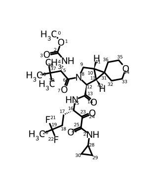 COC(=O)N[C@H](C(=O)N1C[C@H]2[C@@H]([C@H]1C(=O)N[C@@H](CCC(C)(F)F)C(=O)C(=O)NC1CC1)C21CCOCC1)C(C)(C)C